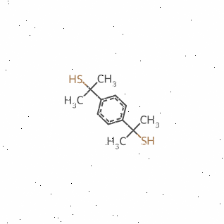 CC(C)(S)c1ccc(C(C)(C)S)cc1